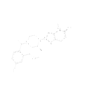 COCc1cc(F)ccc1C(C)N1C[C@H](C)N(n2cc3c(ccc(=O)n3C)n2)C[C@H]1C